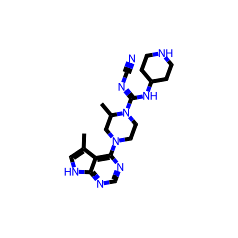 Cc1c[nH]c2ncnc(N3CCN(C(=NC#N)NC4CCNCC4)C(C)C3)c12